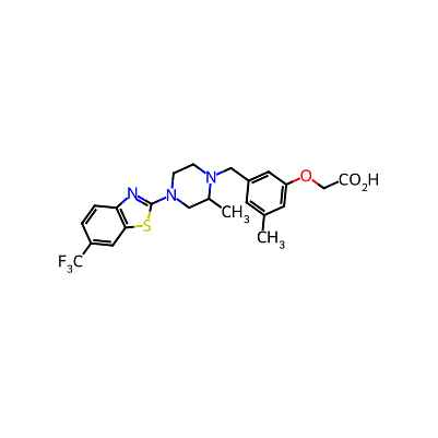 Cc1cc(CN2CCN(c3nc4ccc(C(F)(F)F)cc4s3)CC2C)cc(OCC(=O)O)c1